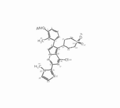 COc1cccc(-c2cn3nc(-c4nccn4C)nc(Cl)c3c2C2CCS(=O)(=O)CC2)c1C